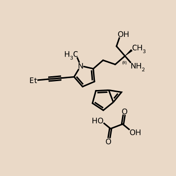 CCC#Cc1ccc(CC[C@@](C)(N)CO)n1C.O=C(O)C(=O)O.c1cc2cc-2c1